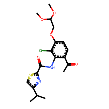 COC(COc1ccc(C(C)=O)c(NC(=O)c2nc(C(C)C)cs2)c1Cl)OC